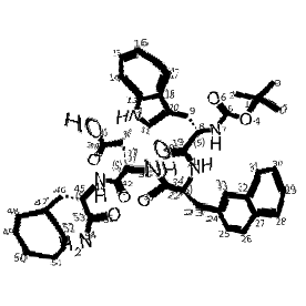 CC(C)(C)OC(=O)N[C@@H](Cc1c[nH]c2ccccc12)C(=O)N[C@@H](Cc1ccc2ccccc2c1)C(=O)N[C@@H](CC(=O)O)C(=O)N[C@@H](CC1CCCCC1)C(N)=O